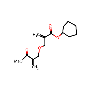 C=C(COCC(=C)C(=O)OC1CCCCC1)C(=O)OC